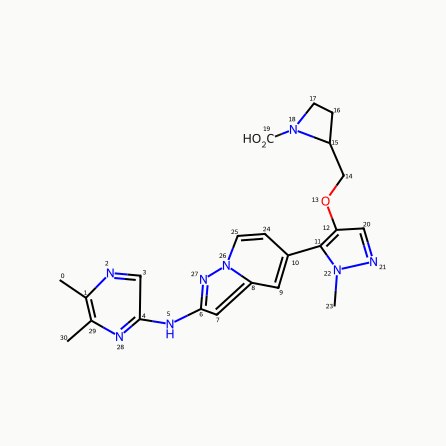 Cc1ncc(Nc2cc3cc(-c4c(OCC5CCN5C(=O)O)cnn4C)ccn3n2)nc1C